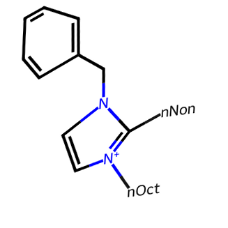 CCCCCCCCCc1n(Cc2ccccc2)cc[n+]1CCCCCCCC